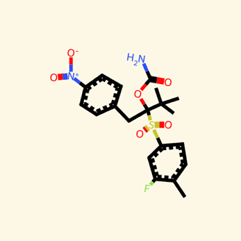 Cc1ccc(S(=O)(=O)C(Cc2ccc([N+](=O)[O-])cc2)(OC(N)=O)C(C)(C)C)cc1F